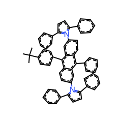 CC(C)(C)c1ccc(-c2c3ccc(-n4c(-c5ccccc5)ccc4-c4ccccc4)cc3c(-c3ccccc3)c3ccc(-n4c(-c5ccccc5)ccc4-c4ccccc4)cc23)cc1